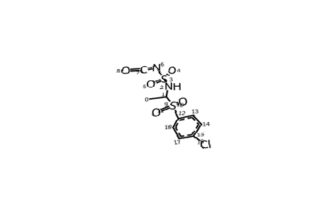 CC(NS(=O)(=O)N=C=O)S(=O)(=O)c1ccc(Cl)cc1